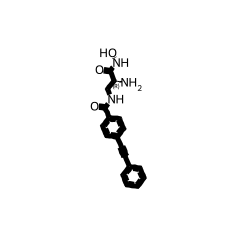 N[C@H](CNC(=O)c1ccc(C#Cc2ccccc2)cc1)C(=O)NO